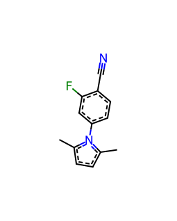 Cc1ccc(C)n1-c1ccc(C#N)c(F)c1